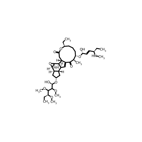 CC[C@H]1CCC[C@H](O[C@H](O)/C=C/[C@@H](CC)NC)[C@@H](C)C(=O)C2=C[C@H]3[C@@H]4C[C@H](O[C@H](O)C(OC)C(OC)[C@H](CC)OC)C[C@H]4[C@H]4O[C@H]4[C@H]3[C@@H]2CC(=O)O1